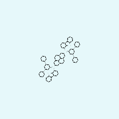 c1ccc(-c2cc(-c3ccccc3)cc(N(c3cc4ccc5cc(N(c6cc(-c7ccccc7)cc(-c7ccccc7)c6)c6cccc7c6oc6ccccc67)cc6ccc(c3)c4c56)c3cccc4c3oc3ccccc34)c2)cc1